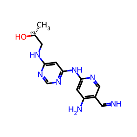 C[C@@H](O)CNc1cc(Nc2cc(N)c(C=N)cn2)ncn1